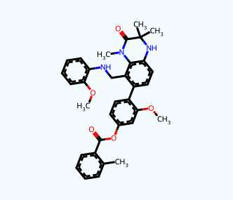 COc1ccccc1NCc1c(-c2ccc(OC(=O)c3ccccc3C)cc2OC)ccc2c1N(C)C(=O)C(C)(C)N2